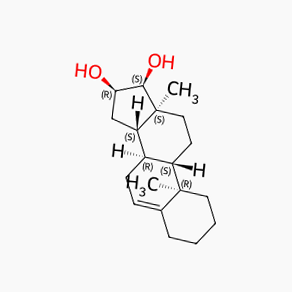 C[C@]12CC[C@H]3[C@@H](CC=C4CCCC[C@@]43C)[C@@H]1C[C@@H](O)[C@H]2O